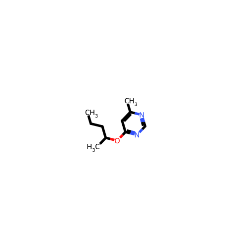 CCCC(C)Oc1cc(C)ncn1